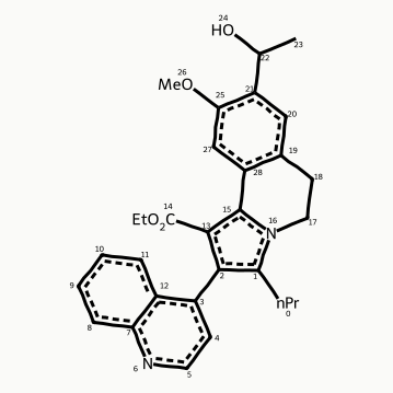 CCCc1c(-c2ccnc3ccccc23)c(C(=O)OCC)c2n1CCc1cc(C(C)O)c(OC)cc1-2